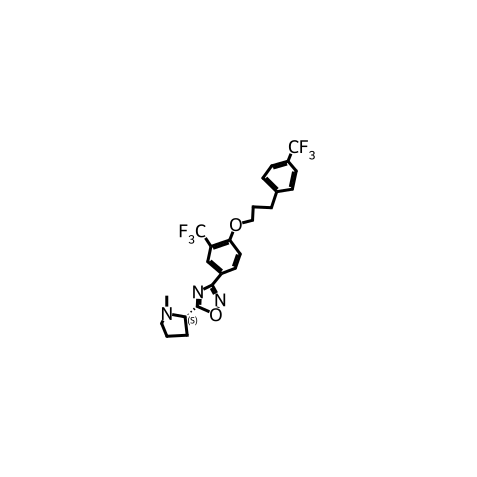 CN1CCC[C@H]1c1nc(-c2ccc(OCCCc3ccc(C(F)(F)F)cc3)c(C(F)(F)F)c2)no1